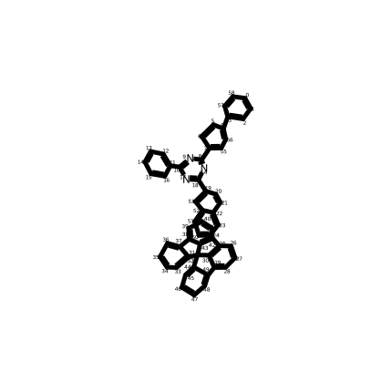 c1ccc(-c2ccc(-c3nc(-c4ccccc4)nc(-c4ccc5cc(-c6cccc7c6C6(c8ccccc8-c8ccccc86)c6ccccc6-7)ccc5c4)n3)cc2)cc1